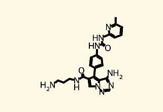 Cc1cccc(NC(=O)Nc2ccc(-c3c(C(=O)NCCCN)cn4ncnc(N)c34)cc2)n1